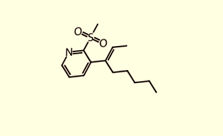 CC=C(CCCCC)c1cccnc1S(C)(=O)=O